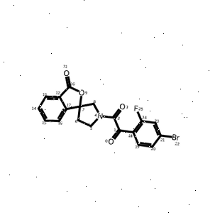 O=C(C(=O)N1CCC2(C1)OC(=O)c1ccccc12)c1ccc(Br)cc1F